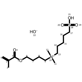 C=C(C)C(=O)OCCCC[N+](C)(C)CCCCCS(=O)(=O)O.[OH-]